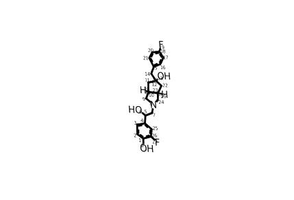 Oc1ccc(C(O)CN2C[C@@H]3C[C@](O)(Cc4ccc(F)cc4)C[C@@H]3C2)cc1F